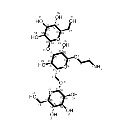 NCCO[C@H]1O[C@H](CO[C@H]2O[C@H](CO)[C@@H](O)[C@H](O)[C@@H]2O)[C@@H](O)[C@H](O[C@@H]2O[C@H](CO)[C@@H](O)[C@H](O)[C@@H]2O)[C@@H]1O